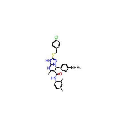 CC(=O)Nc1ccc(C2C(C(=O)Nc3ccc(C)cc3C)=C(C)N=C3NC(SCc4ccc(Cl)cc4)=NN32)cc1